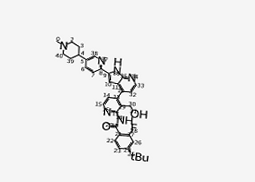 CN1CCC(c2ccc(-c3cc4c(-c5ccnc(NC(=O)c6ccc(C(C)(C)C)cc6F)c5CO)ccnc4[nH]3)nc2)CC1